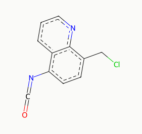 O=C=Nc1ccc(CCl)c2ncccc12